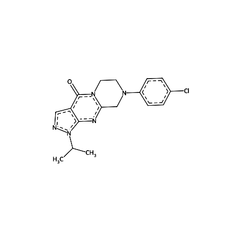 CC(C)n1ncc2c(=O)n3c(nc21)CN(c1ccc(Cl)cc1)CC3